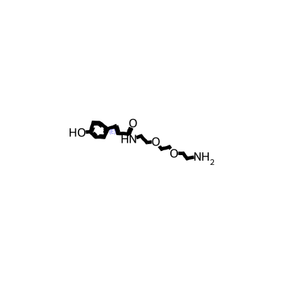 NCCOCCOCCNC(=O)/C=C/c1ccc(O)cc1